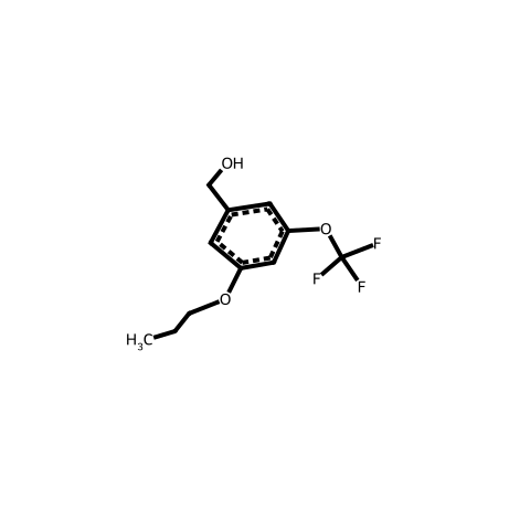 CCCOc1cc(CO)cc(OC(F)(F)F)c1